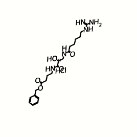 Cl.N=C(N)NCCCCCC(=O)NC[C@H](O)C(=O)NCCCC(=O)OCc1ccccc1